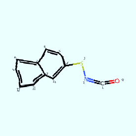 O=C=NSc1ccc2ccccc2c1